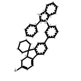 BrC1=CC=C2c3ccc(-c4cccc(-n5c(-c6ccccc6)nc6ccccc65)c4)cc3C3(CCCCC3)C2C1